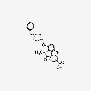 CN1C(=O)C2(CCN(C(=O)O)CC2)c2c(F)ccc(OCC3CCN(Cc4ccccc4)CC3)c21